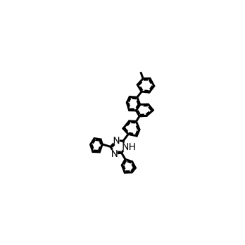 Cc1cccc(-c2cccc3c(-c4ccc(C5N=C(c6ccccc6)N=C(c6ccccc6)N5)cc4)cccc23)c1